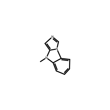 Cn1c2ccccc2n2cncc12